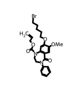 C=CCOC(=O)N1CCN(c2ccccc2)C(=O)c2cc(OC)c(OCCCCCBr)cc21